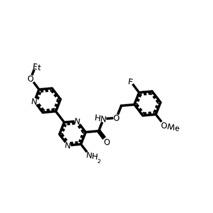 CCOc1ccc(-c2cnc(N)c(C(=O)NOCc3cc(OC)ccc3F)n2)cn1